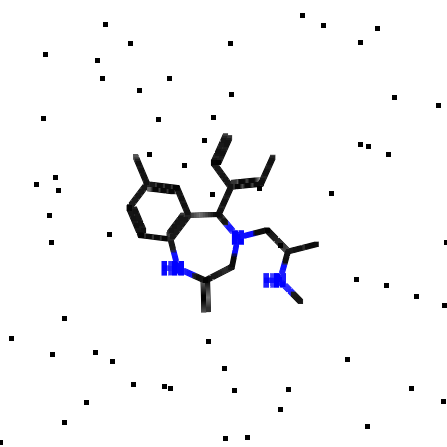 C=C/C(=C\C)C1c2cc(C)ccc2NC(=C)CN1CC(C)NC